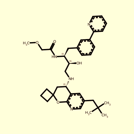 COCC(=O)N[C@@H](Cc1cccc(-c2ccccn2)c1)[C@@H](O)CN[C@H]1CC2(CCC2)Oc2ncc(CC(C)(C)C)cc21